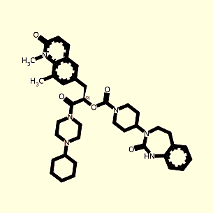 Cc1cc(C[C@@H](OC(=O)N2CCC(N3CCc4ccccc4NC3=O)CC2)C(=O)N2CCN(C3CCCCC3)CC2)cc2ccc(=O)n(C)c12